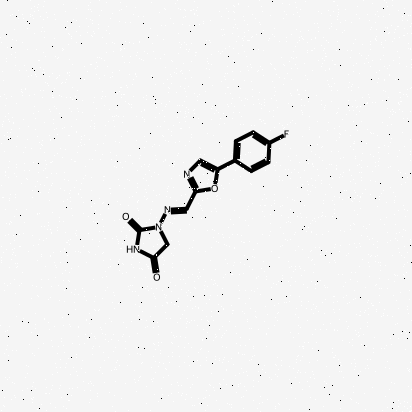 O=C1CN(/N=C/c2ncc(-c3ccc(F)cc3)o2)C(=O)N1